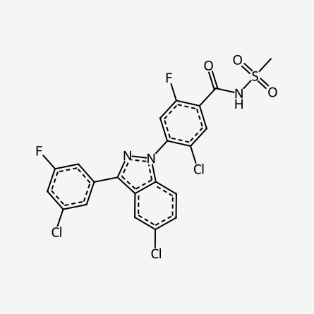 CS(=O)(=O)NC(=O)c1cc(Cl)c(-n2nc(-c3cc(F)cc(Cl)c3)c3cc(Cl)ccc32)cc1F